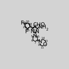 Nc1nc(N2CCCC(N3CCOCC3)C2)nc(-c2ccc(F)cc2F)c1C=O